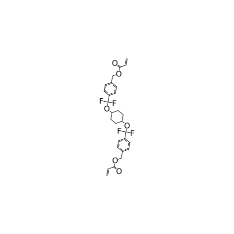 C=CC(=O)OCc1ccc(C(F)(F)OC2CCC(OC(F)(F)c3ccc(COC(=O)C=C)cc3)CC2)cc1